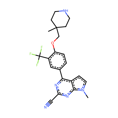 Cn1ccc2c(-c3ccc(OCC4(C)CCNCC4)c(C(F)(F)F)c3)nc(C#N)nc21